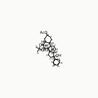 CC(=O)O[C@H]1CC[C@@]2(C)[C@H](C1)[C@H]1OC(C)(C)O[C@@H]1[C@@H]1[C@@H]2CC[C@@]2(C)[C@H]1CC[C@@]2(O)c1ccccn1